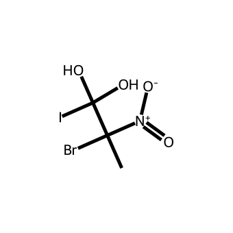 CC(Br)([N+](=O)[O-])C(O)(O)I